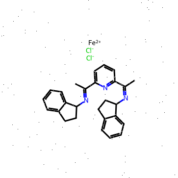 CC(=NC1CCc2ccccc21)c1cccc(C(C)=NC2CCc3ccccc32)n1.[Cl-].[Cl-].[Fe+2]